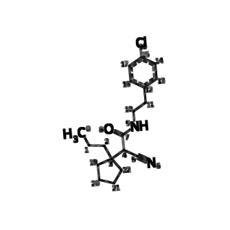 CCCC1(C(C#N)C(=O)NCCc2ccc(Cl)cc2)CCCC1